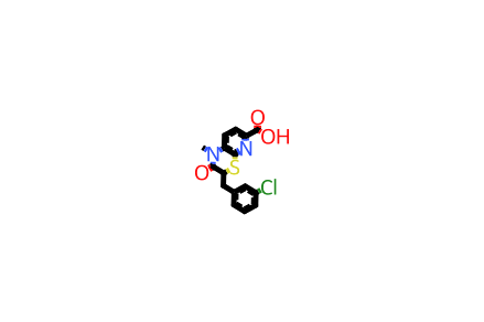 CN1C(=O)C(Cc2cccc(Cl)c2)Sc2nc(C(=O)O)ccc21